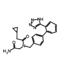 NC(=O)CN(Cc1ccc(-c2ccccc2-c2nnn[nH]2)cc1)C(=O)CC1CC1